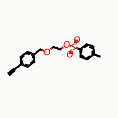 C#Cc1ccc(COCCOS(=O)(=O)c2ccc(C)cc2)cc1